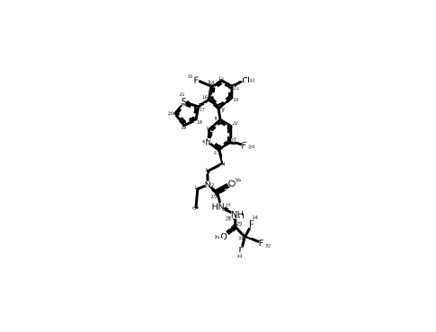 CCN(CCc1ncc(-c2cc(Cl)cc(F)c2-c2cccs2)cc1F)C(=O)NNC(=O)C(F)(F)F